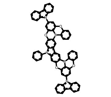 c1ccc(-n2c3cc4c(cc3c3cc5c(cc32)Oc2cc(-n3c6ccccc6c6ccccc63)cc3c2B5c2ccccc2O3)B2c3ccccc3Oc3cc(-n5c6ccccc6c6ccccc65)cc(c32)O4)cc1